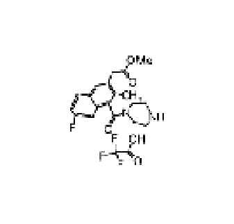 COC(=O)Cc1cc2ccc(F)cc2c(C(=O)N2CCNCC2)c1C.O=C(O)C(F)(F)F